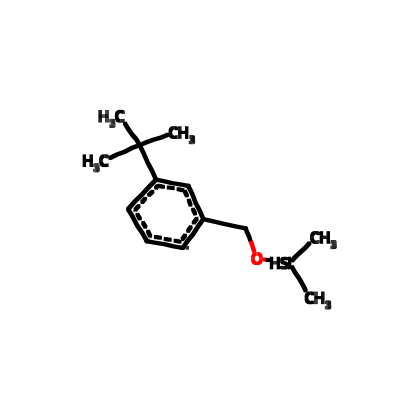 C[SiH](C)OCc1[c]ccc(C(C)(C)C)c1